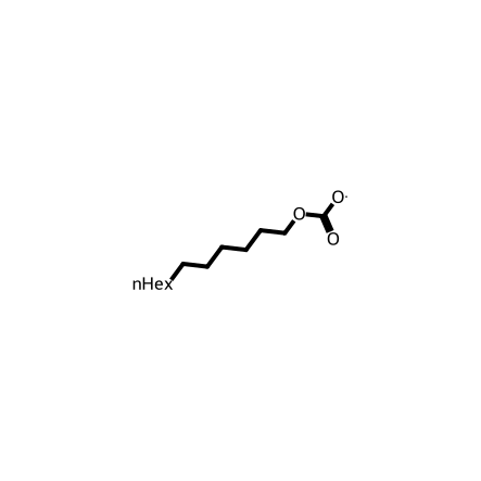 CCCCCCCCCCCCOC([O])=O